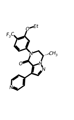 CCOc1cc(N2C[C@H](C)n3ncc(-c4ccncc4)c3C2=O)ccc1C(F)(F)F